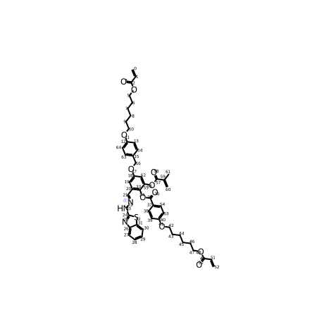 C=CC(=O)OCCCCCCOc1ccc(COc2cc(/C=N/Nc3nc4ccccc4s3)c(OC(=O)c3ccc(OCCCCCCOC(=O)C=C)cc3)c(OC(=O)C(=C)C)c2)cc1